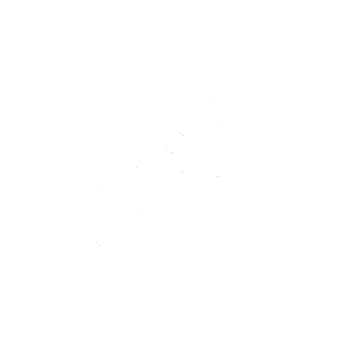 COC(=O)c1nn(Cc2ccc(C#N)cc2)cc1C